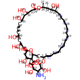 CC1OC(O[C@H]2/C=C/C=C/C=C/C=C/C=C/C=C/C=C/[C@H](C)[C@@H](O)[C@@H](C)[C@H](C)OC(=O)C[C@H](O)C[C@H](O)CCC[C@H](O)C[C@H](O)C[C@]3(O)C[C@H](O)[C@@H](C(=O)O)C(C2)O3)C(O)C(N)C1O